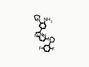 Nc1ccc(-c2cnc3ccc(N4CCCC4c4cc(F)ccc4F)nn23)cc1N1CCCC1